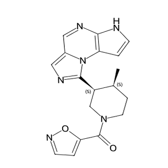 C[C@H]1CCN(C(=O)c2ccno2)C[C@H]1c1ncc2cnc3[nH]ccc3n12